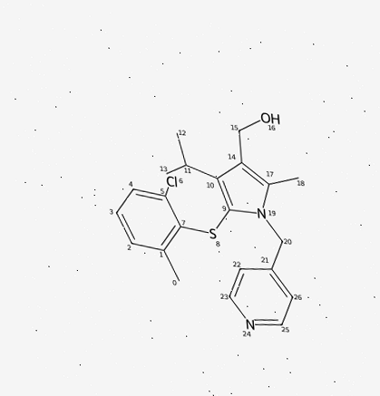 Cc1cccc(Cl)c1Sc1c(C(C)C)c(CO)c(C)n1Cc1ccncc1